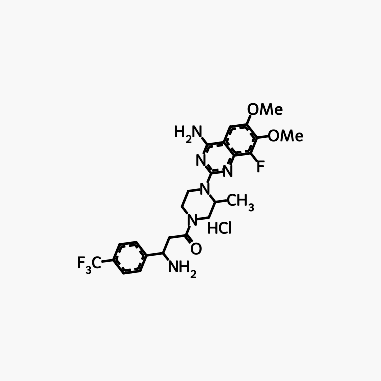 COc1cc2c(N)nc(N3CCN(C(=O)CC(N)c4ccc(C(F)(F)F)cc4)CC3C)nc2c(F)c1OC.Cl